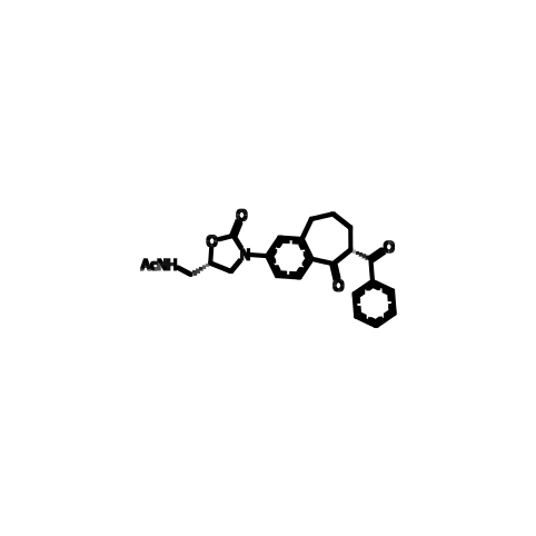 CC(=O)NC[C@H]1CN(c2ccc3c(c2)CCC[C@H](C(=O)c2ccccc2)C3=O)C(=O)O1